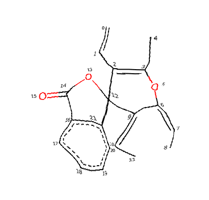 C=CC1=C(C)OC(=C/C)/C(=C\C)C12OC(=O)c1ccccc12